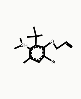 C=CCOc1c(Br)cc(C)c([SiH](C)C)c1C(C)(C)C